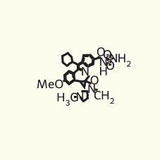 C=CN(C(=O)C12CC1c1cc(OC)ccc1-c1c(C3CCCCC3)c3ccc(C(=O)NS(N)(=O)=O)cc3n1C2)C1CCN(C)C1